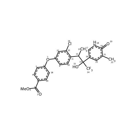 COC(=O)c1ccc(Oc2ccc(C(C)C(O)(c3c[nH]c(=O)c(C)c3)C(F)(F)F)c(Cl)c2)cc1